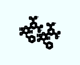 O=C(N[C@@H](Cc1ccccc1)C(=O)O)c1cc([N+](=O)[O-])cc([N+](=O)[O-])c1.O=C(N[C@@H](Cc1ccccc1)C(=O)O)c1cc([N+](=O)[O-])cc([N+](=O)[O-])c1